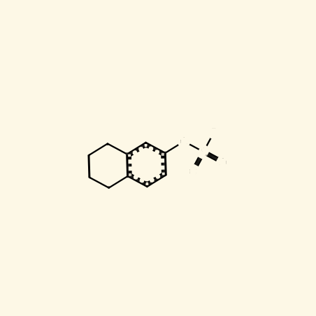 CCS(=O)(=O)Oc1ccc2c(c1)CCCC2